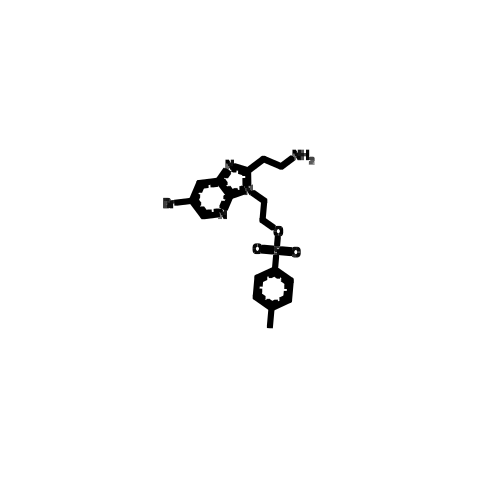 Cc1ccc(S(=O)(=O)OCCn2c(CCN)nc3cc(Br)cnc32)cc1